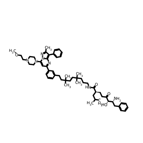 COCCN1CCN(c2cc(-c3cccc(CCC(C)(C)CCC(C)(C)CCCNC(=O)[C@@H](CCC(=O)[C@@H](O)[C@H](N)Cc4ccccc4)CC(C)C)c3)nc3c(-c4ccccc4)c(C)nn23)CC1